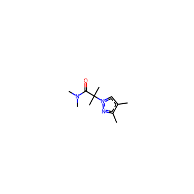 Cc1cn(C(C)(C)C(=O)N(C)C)nc1C